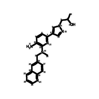 CC(O)Cn1cc(-c2ccc(N)c(N(C)Cc3ccc4ncccc4c3)n2)cn1